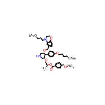 COCCCCOc1ccc([C@@H]2[C@@H](OCc3ccc4c(c3)N(CCCOC)CCO4)CNC[C@H]2OCC(C)OC(=O)c2ccc(CO[N+](=O)[O-])cc2)cc1